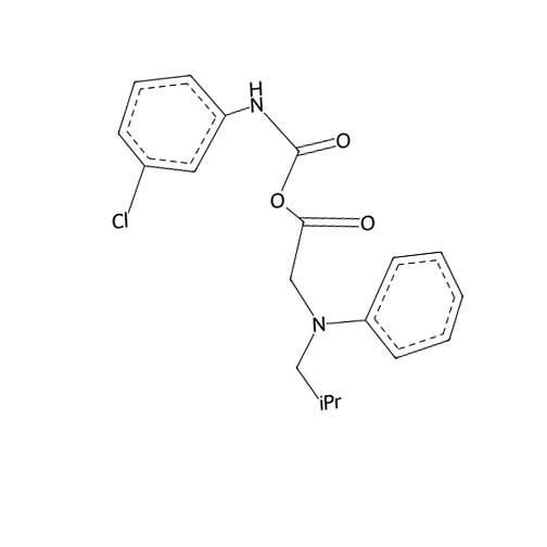 CC(C)CN(CC(=O)OC(=O)Nc1cccc(Cl)c1)c1ccccc1